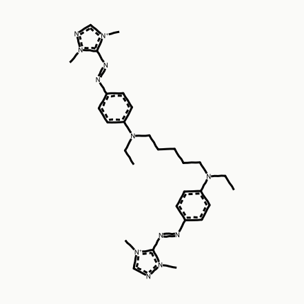 CCN(CCCCCN(CC)c1ccc(N=Nc2n(C)nc[n+]2C)cc1)c1ccc(N=Nc2n(C)nc[n+]2C)cc1